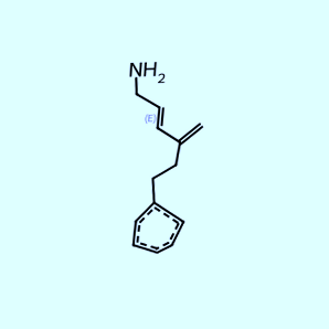 C=C(/C=C/CN)CCc1ccccc1